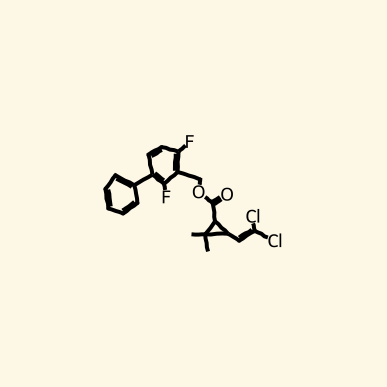 CC1(C)C(C=C(Cl)Cl)C1C(=O)OCc1c(F)ccc(-c2ccccc2)c1F